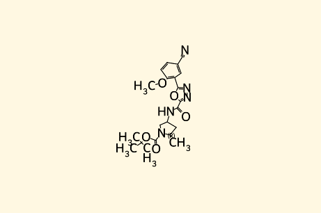 COc1ccc(C#N)cc1-c1nnc(C(=O)NC2C[C@@H](C)N(C(=O)OC(C)(C)C)C2)o1